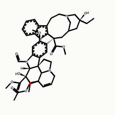 CCC12C=CCN3CC[C@@]4(c5cc([C@@]6(C(=O)OC)CC7CN(CCc8c6[nH]c6ccccc86)C[C@](O)(CC)C7)c(OC)cc5N(C=O)[C@H]4[C@@](O)(C(=O)OC)C1OC(C)=O)C32